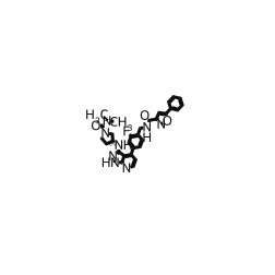 CN(C)C(=O)N1CC[C@@H](Nc2n[nH]c3nccc(-c4ccc(CNC(=O)c5cc(-c6ccccc6)on5)c(F)c4)c23)C1